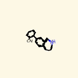 N#Cc1ccccc1-c1ccc2c(c1)=CNC=CC=2